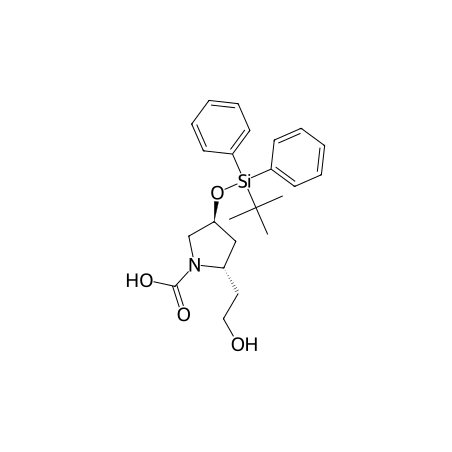 CC(C)(C)[Si](O[C@H]1C[C@H](CCO)N(C(=O)O)C1)(c1ccccc1)c1ccccc1